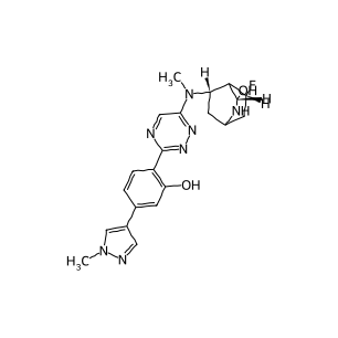 CN(c1cnc(-c2ccc(-c3cnn(C)c3)cc2O)nn1)[C@H]1CC2C[C@@H](F)C1[C@H](O)N2